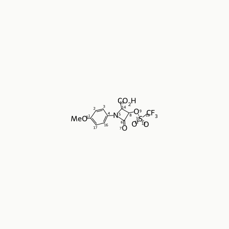 COc1ccc(N2C(=O)C(OS(=O)(=O)C(F)(F)F)C2C(=O)O)cc1